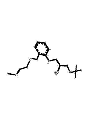 COCCOCc1ccccc1OCC(O)CNC(C)(C)C